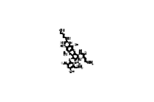 N=C(NCCCO)NC1C(O)[C@@H](CO)OC(OC2C(F)[C@H](O[C@H]3OC(CN)[C@@H](O)CC3N)C(N)C[C@H]2NC(=O)[C@@H](O)CCN)[C@@H]1O